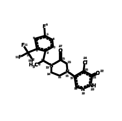 CC(c1ccc(F)cc1C(F)(F)F)N1CCN(c2cn[nH]c(=O)c2Cl)CC1=O